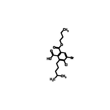 CCCCOC(=O)c1cc(Br)c(Cl)c(CCCC(C)C)c1C(=O)O